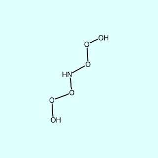 OOONOOO